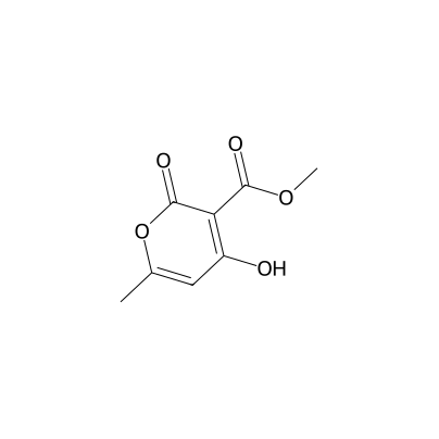 COC(=O)c1c(O)cc(C)oc1=O